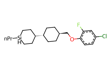 CCC[SiH]1CCC([C@H]2CC[C@H](COc3ccc(Cl)cc3F)CC2)CC1